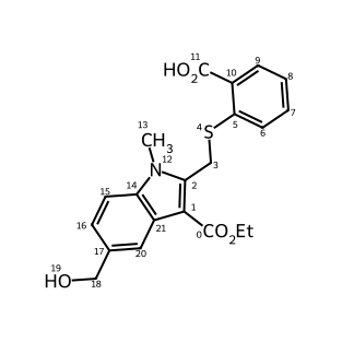 CCOC(=O)c1c(CSc2ccccc2C(=O)O)n(C)c2ccc(CO)cc12